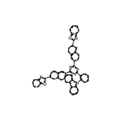 c1ccc(-n2c3ccccc3c3ccccc32)c(-c2nc(-c3ccc4cc(-c5nc6ccccc6o5)ccc4c3)nc(-c3ccc4cc(-c5nc6ccccc6o5)ccc4c3)n2)c1